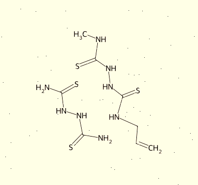 C=CCNC(=S)NNC(=S)NC.NC(=S)NNC(N)=S